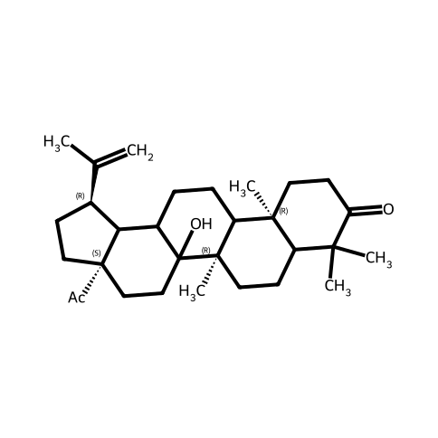 C=C(C)[C@@H]1CC[C@]2(C(C)=O)CCC3(O)C(CCC4[C@@]5(C)CCC(=O)C(C)(C)C5CC[C@]43C)C12